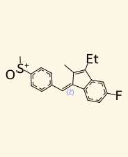 CCC1=C(C)/C(=C\c2ccc([S+](C)[O-])cc2)c2ccc(F)cc21